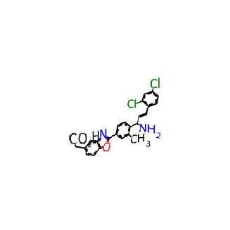 Cc1cc(-c2nc3cc(CC(=O)O)ccc3o2)ccc1C(N)C=Cc1ccc(Cl)cc1Cl